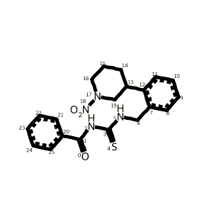 O=C(NC(=S)NCc1ccccc1C1CCCN([N+](=O)[O-])C1)c1ccccc1